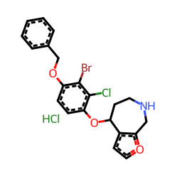 Cl.Clc1c(OC2CCNCc3occc32)ccc(OCc2ccccc2)c1Br